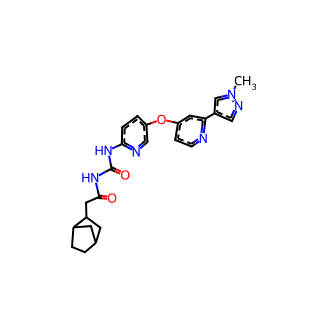 Cn1cc(-c2cc(Oc3ccc(NC(=O)NC(=O)CC4CC5CCC4C5)nc3)ccn2)cn1